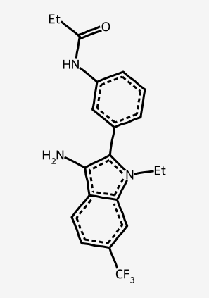 CCC(=O)Nc1cccc(-c2c(N)c3ccc(C(F)(F)F)cc3n2CC)c1